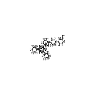 Fc1cccc(-c2ccc(-c3cccc(-c4nc(-c5ccccc5)nc(-c5ccccc5)n4)n3)cc2)c1